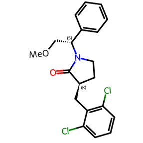 COC[C@H](c1ccccc1)N1CC[C@@H](Cc2c(Cl)cccc2Cl)C1=O